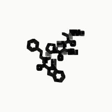 CN[C@@H](C)C(=O)N[C@H](C(=O)N1CCC[C@H]1CN(CCc1ccccc1)C(=O)c1cc2ccccc2[nH]1)C(C)(C)C